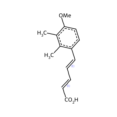 COc1ccc(/C=C/C=C/C(=O)O)c(C)c1C